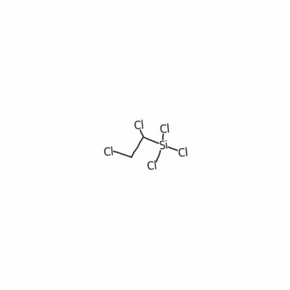 ClCC(Cl)[Si](Cl)(Cl)Cl